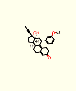 CC#C[C@]1(O)CC[C@H]2[C@@H]3CCC4=CC(=O)CCC4=C3[C@@H](c3cccc(OCC)c3)C[C@@]21C